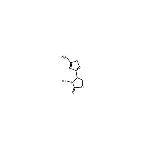 Cc1nc(C2COC(=O)N2C)cs1